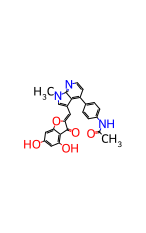 CC(=O)Nc1ccc(-c2ccnc3c2c(C=C2Oc4cc(O)cc(O)c4C2=O)cn3C)cc1